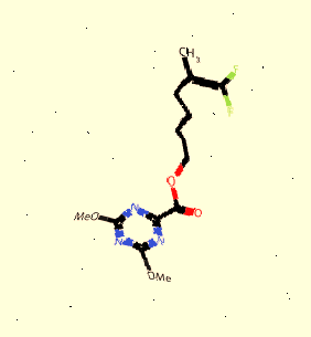 COc1nc(OC)nc(C(=O)OCCCCC(C)=C(F)F)n1